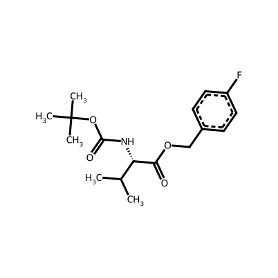 CC(C)[C@H](NC(=O)OC(C)(C)C)C(=O)OCc1ccc(F)cc1